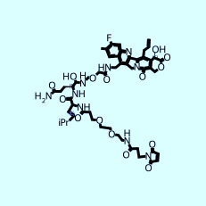 C=CCc1c2c(c(=O)n3c1-c1nc4cc(F)c(C)cc4c(CNC(=O)COCNC(O)[C@H](CCC(N)=O)NC(=O)C(/C=C/C(C)C)NC(=O)CCOCCOCCNC(=O)CCN4C(=O)C=CC4=O)c1C3)COC(=O)[C@H]2O